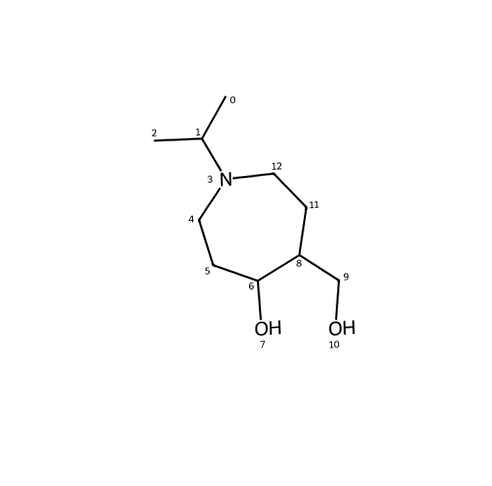 CC(C)N1CCC(O)C(CO)CC1